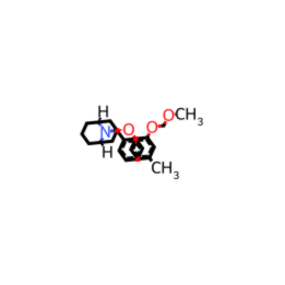 COCOc1cc(C)ccc1O[C@H]1C[C@H]2CCC[C@@H](C1)N2Cc1ccccc1